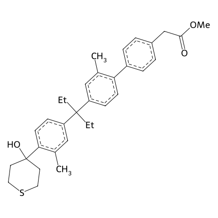 CCC(CC)(c1ccc(-c2ccc(CC(=O)OC)cc2)c(C)c1)c1ccc(C2(O)CCSCC2)c(C)c1